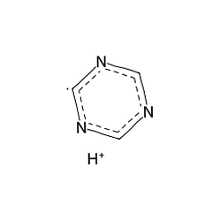 [H+].[c]1ncncn1